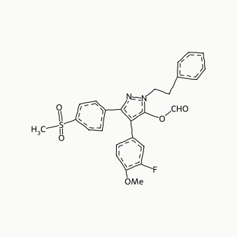 COc1ccc(-c2c(-c3ccc(S(C)(=O)=O)cc3)nn(CCc3ccccc3)c2OC=O)cc1F